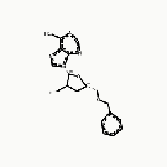 Oc1ncnc2c1ncn2[C@@H]1O[C@H](COCc2ccccc2)CC1O